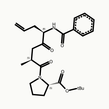 C=CC[C@@H](NC(=O)c1ccccc1)C(=O)C[C@H](C)C(=O)N1CCC[C@H]1C(=O)OC(C)(C)C